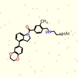 CC(=O)NCCNCc1ccc(C(=O)N2CCc3c(-c4ccc5c(c4)OCCO5)cccc32)cc1C